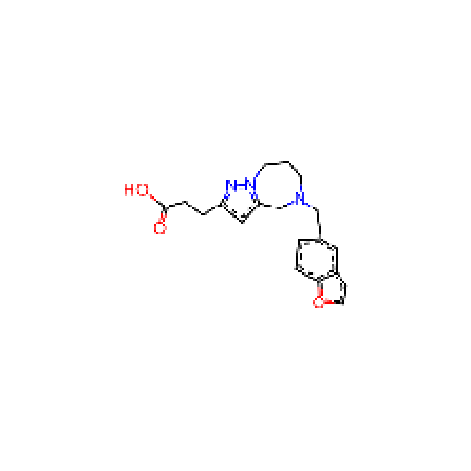 O=C(O)CCc1cc2n(n1)CCCN(Cc1ccc3occc3c1)C2